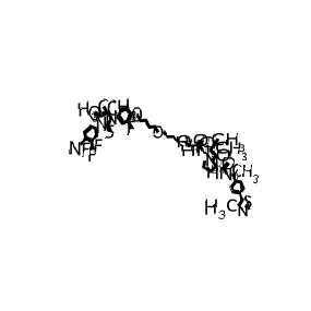 Cc1ncsc1-c1ccc([C@H](C)NC(=O)[C@@H]2CCCN2C(=O)C(NC(=O)COCCCCOCCCCOc2ccc(N3C(=S)N(c4ccc(C#N)c(C(F)(F)F)c4)C(=O)C3(C)C)cc2F)C(C)(C)C)cc1